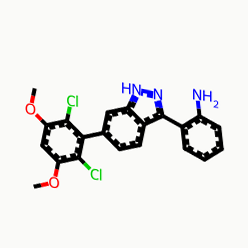 COc1cc(OC)c(Cl)c(-c2ccc3c(-c4ccccc4N)n[nH]c3c2)c1Cl